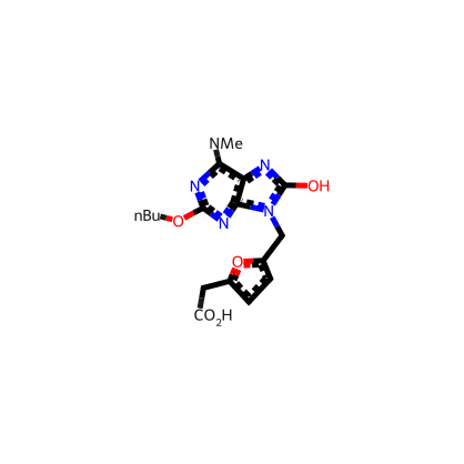 CCCCOc1nc(NC)c2nc(O)n(Cc3ccc(CC(=O)O)o3)c2n1